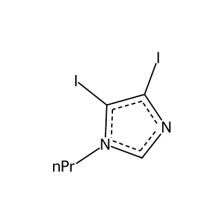 CCCn1cnc(I)c1I